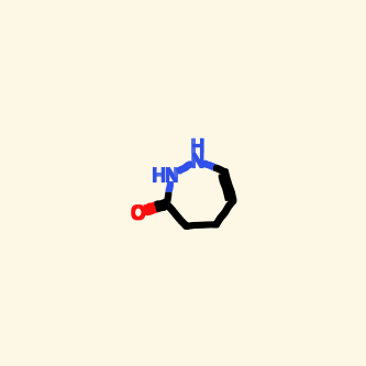 O=C1CCC=CNN1